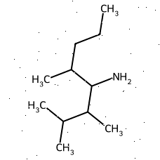 CCCC(C)C(N)C(C)C(C)C